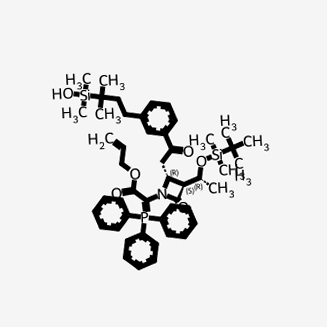 C=CCOC(=O)C(N1C(=O)[C@H]([C@@H](C)O[Si](C)(C)C(C)(C)C)[C@H]1CC(=O)c1cccc(CCC(C)(C)[Si](C)(C)O)c1)=P(c1ccccc1)(c1ccccc1)c1ccccc1